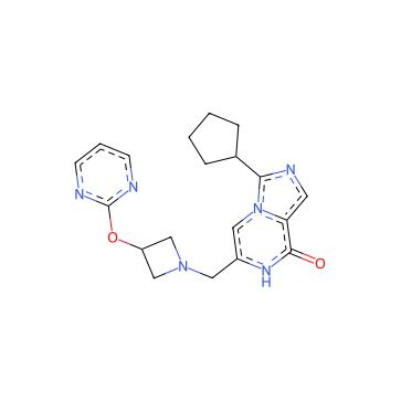 O=c1[nH]c(CN2CC(Oc3ncccn3)C2)cn2c(C3CCCC3)ncc12